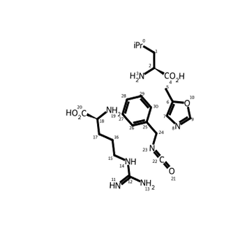 CC(C)C[C@H](N)C(=O)O.Cc1cnco1.N=C(N)NCCC[C@H](N)C(=O)O.O=C=NCc1ccccc1